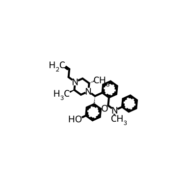 C=CCN1C[C@H](C)N([C@@H](c2cccc(O)c2)c2ccccc2C(=O)N(C)c2ccccc2)C[C@H]1C